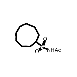 CC(=O)NS(=O)(=O)C1CCCCCCCC1